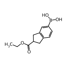 CCOC(=O)C1Cc2ccc(B(O)O)cc2C1